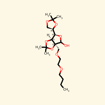 CCCCOCCOC[C@]12OC(C)(C)O[C@H]1[C@@H]([C@H]1COC(C)(C)O1)OC2O